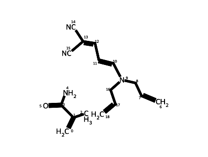 C=C(C)C(N)=O.C=CCN(C=CC=C(C#N)C#N)CC=C